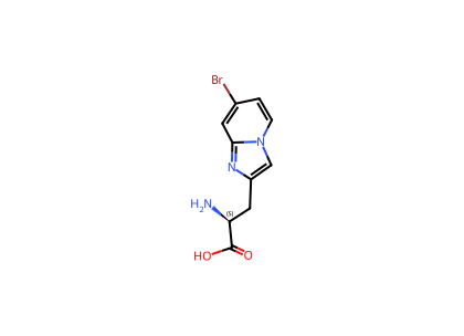 N[C@@H](Cc1cn2ccc(Br)cc2n1)C(=O)O